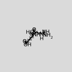 N=C(N)NCCCC(NC(=O)CCCCCC(=O)O)C(=O)O